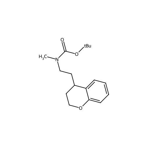 CN(CCC1CCOc2ccccc21)C(=O)OC(C)(C)C